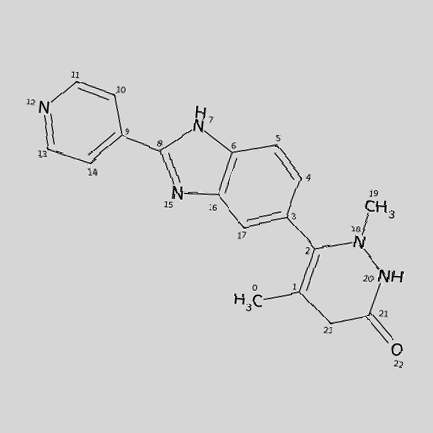 CC1=C(c2ccc3[nH]c(-c4ccncc4)nc3c2)N(C)NC(=O)C1